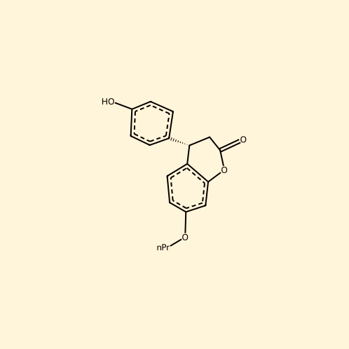 CCCOc1ccc2c(c1)OC(=O)C[C@H]2c1ccc(O)cc1